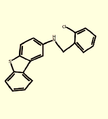 Clc1ccccc1CNc1ccc2sc3ccccc3c2c1